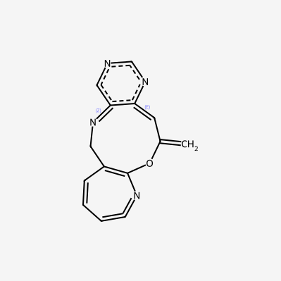 C=C1/C=c2/ncnc/c2=N/CC2=C(N=C=CC=C2)O1